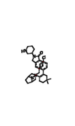 CC1(C)CCC(CN2C3CCC2CN(Cc2ccc4c(c2)CN(C2CCCNC2)C4=O)C3)=C(c2ccc(Cl)cc2)C1